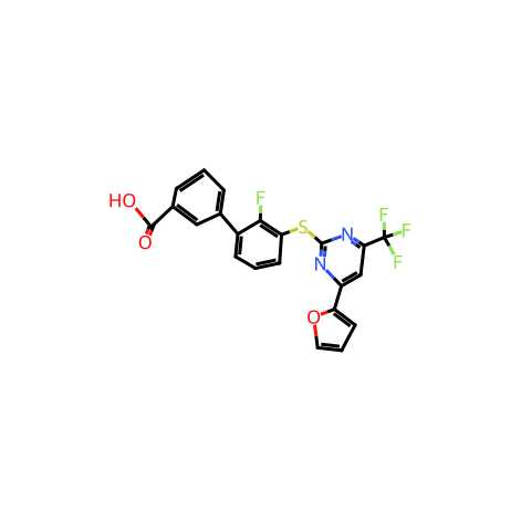 O=C(O)c1cccc(-c2cccc(Sc3nc(-c4ccco4)cc(C(F)(F)F)n3)c2F)c1